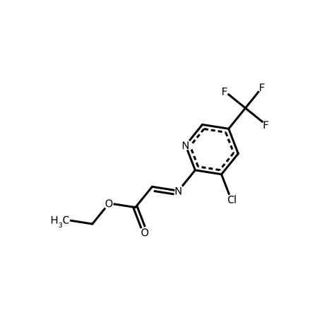 CCOC(=O)/C=N/c1ncc(C(F)(F)F)cc1Cl